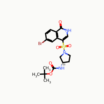 CC(C)(C)OC(=O)N[C@H]1CCN(S(=O)(=O)c2c[nH]c(=O)c3ccc(Br)cc23)C1